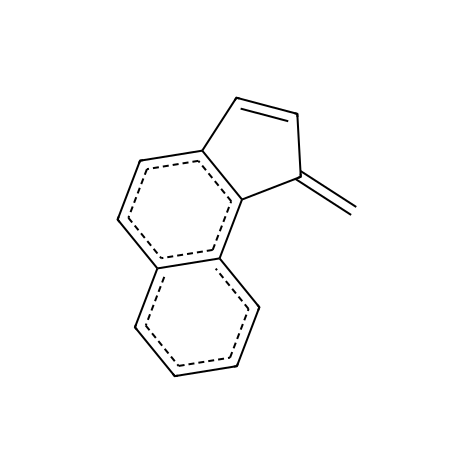 C=C1C=Cc2ccc3ccccc3c21